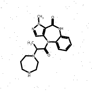 CC(C(=O)N1c2ccccc2NC(=O)c2c1cnn2C)N1CCCNCC1